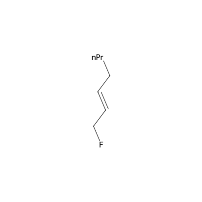 CCCCC=CCF